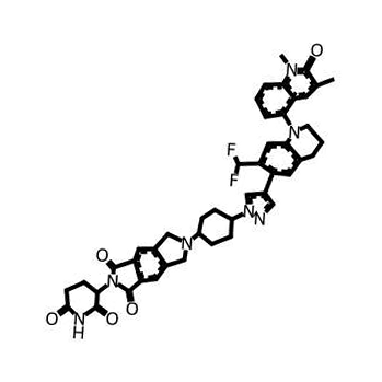 Cc1cc2c(N3CCCc4cc(-c5cnn(C6CCC(N7Cc8cc9c(cc8C7)C(=O)N(C7CCC(=O)NC7=O)C9=O)CC6)c5)c(C(F)F)cc43)cccc2n(C)c1=O